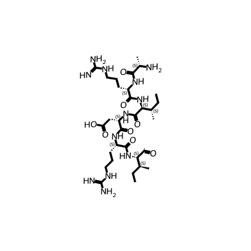 CC[C@H](C)[C@H](NC(=O)[C@H](CCCNC(=N)N)NC(=O)[C@H](C)N)C(=O)N[C@@H](CC(=O)O)C(=O)N[C@@H](CCCNC(=N)N)C(=O)N[C@H]([C]=O)[C@@H](C)CC